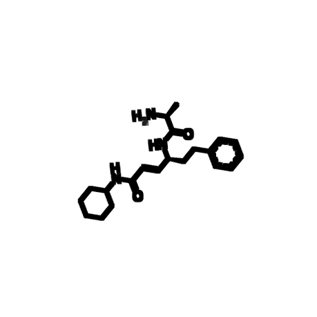 C[C@H](N)C(=O)N[C@H](C=CC(=O)NC1CCCCC1)CCc1ccccc1